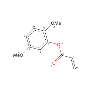 C=CC(=O)Oc1cc(OC)ccc1OC